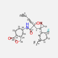 CCCCC#CC(O)(CC1(c2cc(C(F)(F)F)ccc2F)CC1)C(=O)Nc1ccc2c(c1)COC2=O